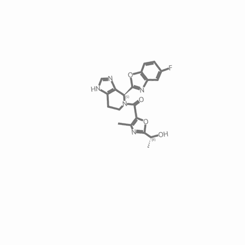 Cc1nc([C@@H](C)O)oc1C(=O)N1CCc2[nH]cnc2[C@H]1c1nc2cc(F)ccc2o1